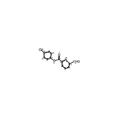 O=Cc1cccc(C(=O)Oc2ccc(Cl)cc2)n1